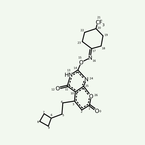 O=c1cc(CCC2CCC2)c2c(=O)[nH]c(ON=C3CCC(C(F)(F)F)CC3)nc2o1